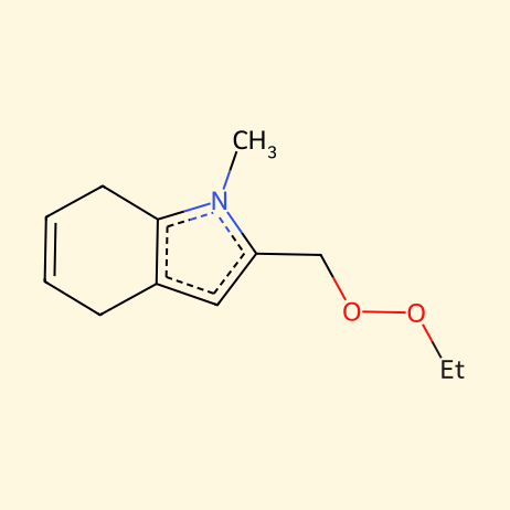 CCOOCc1cc2c(n1C)CC=CC2